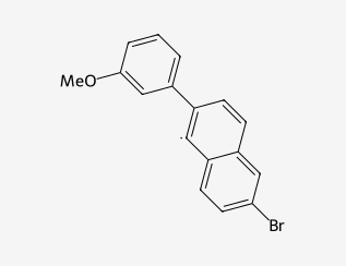 COc1cccc(-c2[c]c3ccc(Br)cc3cc2)c1